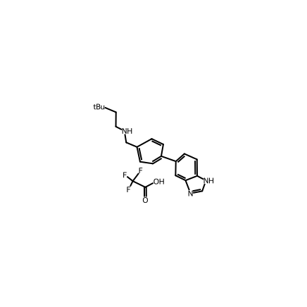 CC(C)(C)CCNCc1ccc(-c2ccc3[nH]cnc3c2)cc1.O=C(O)C(F)(F)F